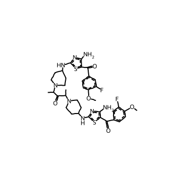 COc1ccc(C(=O)c2sc(NC3CCN(C(C)C(=O)C(C)N4CCC(Nc5nc(N)c(C(=O)c6ccc(OC)c(F)c6)s5)CC4)CC3)nc2N)cc1F